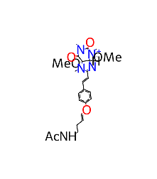 CO[C@]12C(=O)N(C)C(=O)[N@+](C)(OC)[C@@H]1N=C(C=Cc1ccc(OC=CCCNC(C)=O)cc1)N2C